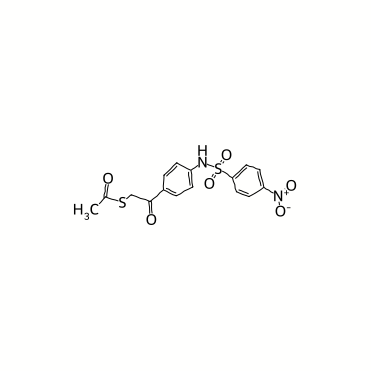 CC(=O)SCC(=O)c1ccc(NS(=O)(=O)c2ccc([N+](=O)[O-])cc2)cc1